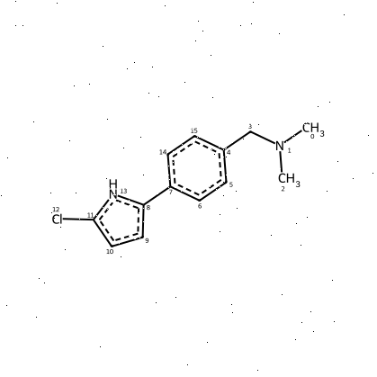 CN(C)Cc1ccc(-c2ccc(Cl)[nH]2)cc1